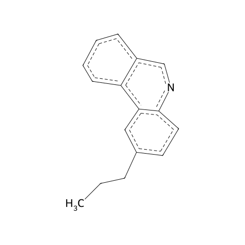 CCCc1ccc2ncc3ccccc3c2c1